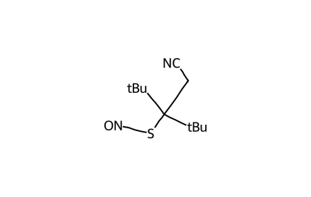 CC(C)(C)C(CC#N)(SN=O)C(C)(C)C